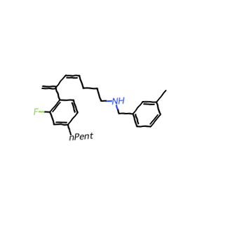 C=C(/C=C\CCCNCc1cccc(C)c1)c1ccc(CCCCC)cc1F